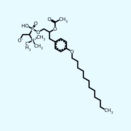 CCCCCCCCCCCCOc1ccc(CC(COP(=O)(O)C(C[O-])[N+](C)(C)C)OC(C)=O)cc1